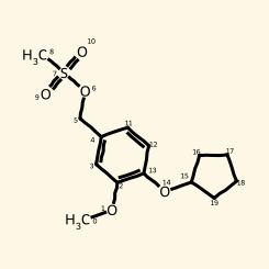 COc1cc(COS(C)(=O)=O)ccc1OC1CCCC1